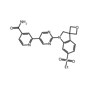 CCS(=O)(=O)c1ccc2c(c1)N(c1ncc(-c3cc(C(N)=O)ccn3)cn1)CC21COC1